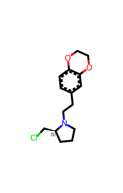 ClC[C@@H]1CCCN1CCc1ccc2c(c1)OCCO2